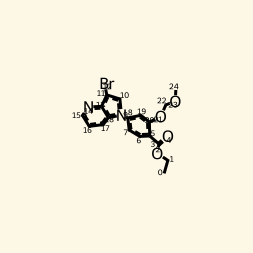 CCOC(=O)c1ccc(-n2cc(Br)c3ncccc32)cc1OCOC